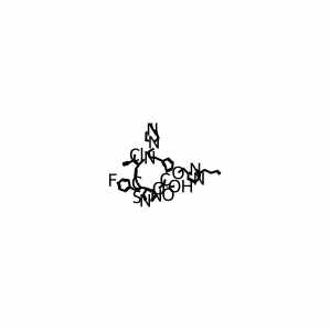 C#C/C(Cl)=C1\C=C/Cc2c(-c3ccc(F)cc3)sc3ncnc(c23)O[C@@H](C(=O)O)Cc2cc(ccc2OCc2ccnc(CCC=C)n2)CN(CCN2CCN(C)CC2)C1